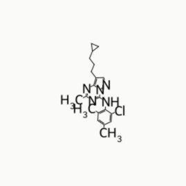 Cc1cc(C)c(Nc2nc(C)nc3c(CCCC4CC4)cnn23)c(Cl)c1